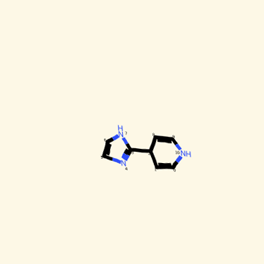 C1=CC(c2ncc[nH]2)C=CN1